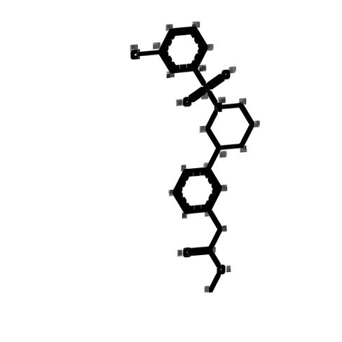 COC(=O)Cc1cccc(C2CCCN(S(=O)(=O)c3cccc(Cl)c3)C2)c1